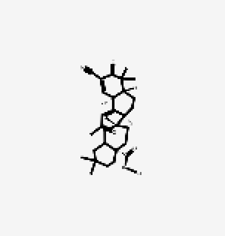 CC(=O)/C=C1/[C@@]2(C)C=C(C#N)C(=O)C(C)(C)[C@@H]2CC[C@@]1(C)[C@]1(C)CC[C@@]2(C(=O)NO)CCC(C)(C)CC2C1